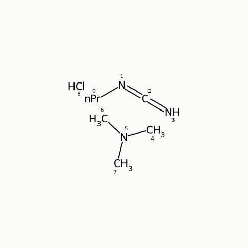 CCCN=C=N.CN(C)C.Cl